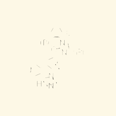 CCCc1cn(-c2c(Cl)cccc2C(C)(C)C)c(=O)n1Cc1ccc(-c2ccccc2-c2nnn[nH]2)cn1